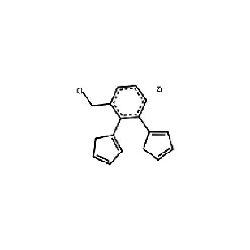 ClCc1cccc(C2=CC=CC2)c1C1=CC=CC1.[Zr]